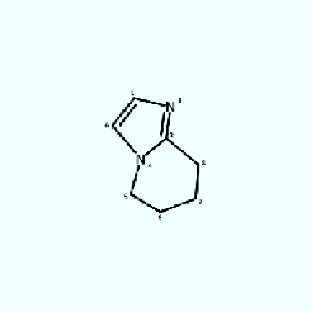 [c]1cnc2n1CCCC2